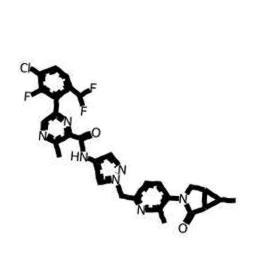 Cc1nc(Cn2cc(NC(=O)c3nc(-c4c(C(F)F)ccc(Cl)c4F)cnc3C)cn2)ccc1N1CC2C(C)C2C1=O